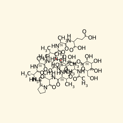 CC(=O)NC1[C@@H](OC(C)[C@H](N)C(=O)NC(C(=O)N2CCC[C@H]2C(=O)NC(C)C(=O)N[C@@H](C)C(=O)NC(C(=O)N[C@H](C(=O)NC(C(=O)N[C@@H](C)C(=O)NC(CCC(=O)O)C(=O)O)C(C)C)C(C)C)C(C)C)C(C)C)OC(CO)[C@H](O)[C@@H]1O[C@@H]1OC(CO)[C@H](O)C(O)[C@@H]1O